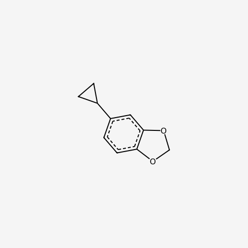 c1cc2c(cc1C1CC1)OCO2